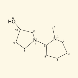 CN1CCCCC1N1CCC(O)C1